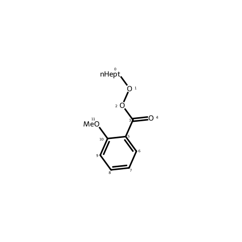 [CH2]CCCCCCOOC(=O)c1ccccc1OC